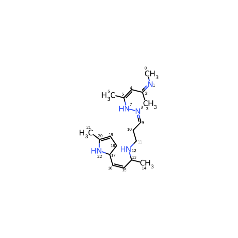 C/N=C(C)\C=C(\C)N/N=C\CCNC(C)/C=C\C1CC=C(C)N1